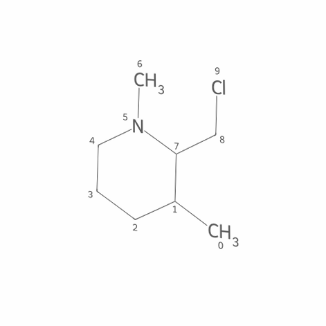 CC1CCCN(C)C1CCl